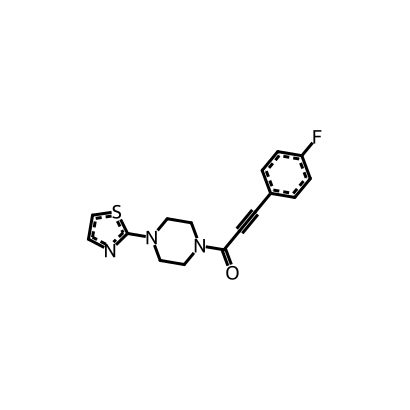 O=C(C#Cc1ccc(F)cc1)N1CCN(c2nccs2)CC1